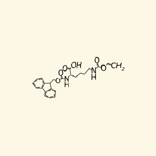 C=COC(=O)NCCCCC(NC(=O)OCC1c2ccccc2-c2ccccc21)C(=O)O